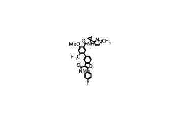 CNC(=O)c1c(-c2ccc(F)cc2)oc2ccc(-c3cc(C(=O)NC4(c5ccn(C)n5)CC4)c(OC)cc3C)cc12